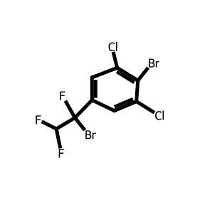 FC(F)C(F)(Br)c1cc(Cl)c(Br)c(Cl)c1